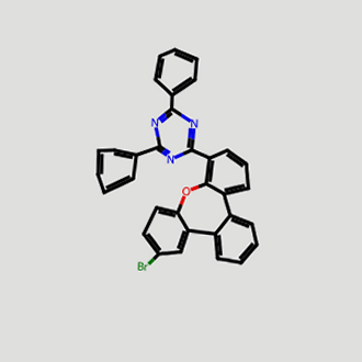 Brc1ccc2c(c1)-c1ccccc1-c1cccc(-c3nc(-c4ccccc4)nc(-c4ccccc4)n3)c1O2